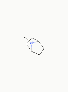 [CH2]N1C2CCC1CC2